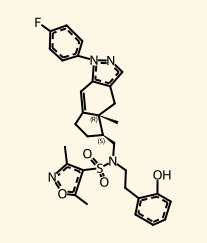 Cc1noc(C)c1S(=O)(=O)N(CCc1ccccc1O)C[C@H]1CCC2=Cc3c(cnn3-c3ccc(F)cc3)C[C@@]21C